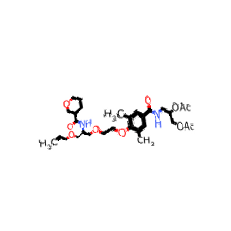 C=CCOC[C@H](COCCOc1c(C)cc(C(=O)NCC(COC(C)=O)OC(C)=O)cc1C)NC(=O)C1CCCOC1